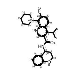 CC(C)c1c(C(=O)N[C@H]2CCOc3ccccc32)cnc2c(N3CCCCC3)c(F)ccc12